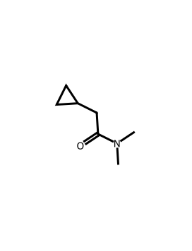 CN(C)C(=O)CC1CC1